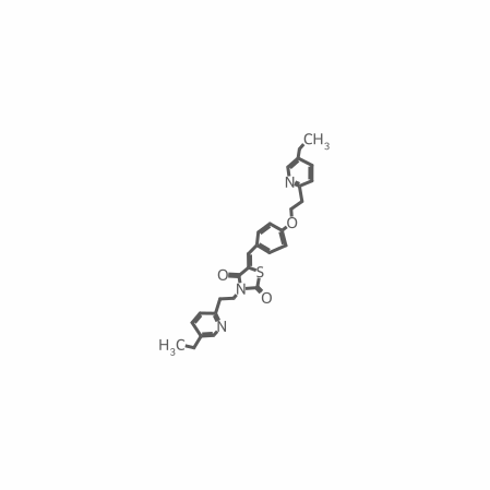 CCc1ccc(CCOc2ccc(/C=C3\SC(=O)N(CCc4ccc(CC)cn4)C3=O)cc2)nc1